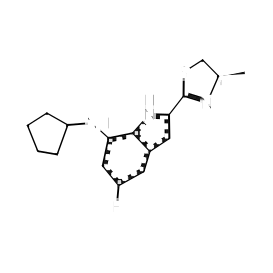 C[C@@H]1CSC(c2cc3cc(F)cc(NC4CCCC4)c3[nH]2)=N1